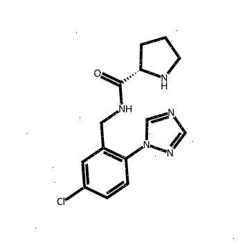 O=C(NCc1cc(Cl)ccc1-n1cncn1)[C@@H]1CCCN1